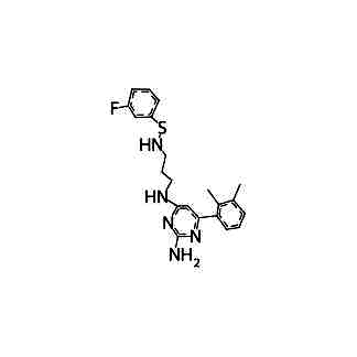 Cc1cccc(-c2cc(NCCCNSc3cccc(F)c3)nc(N)n2)c1C